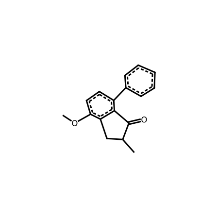 COc1ccc(-c2ccccc2)c2c1CC(C)C2=O